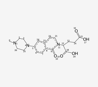 CN1CCN(c2ccc3c(=O)n(C(CCC(=O)O)C(=O)O)ccc3c2)CC1